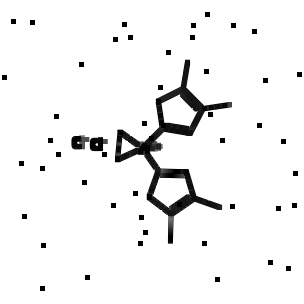 CC1=C(C)C[C]([Zr+2]2([C]3=CC(C)=C(C)C3)[CH2][CH2]2)=C1.[Cl-].[Cl-]